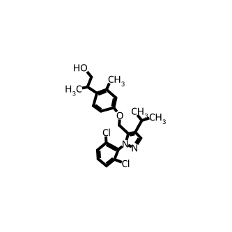 Cc1cc(OCc2c(C(C)C)cnn2-c2c(Cl)cccc2Cl)ccc1C(C)CO